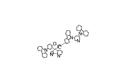 c1cnc2c(c1)C1(c3ccc(-c4ccc5c(c4)c4ccccc4n5-c4cncc(-n5c6ccccc6c6ccccc65)c4)cc3Oc3ccc(-n4c5ccccc5c5ccccc54)cc31)c1cccnc1-2